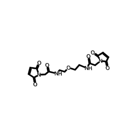 O=C(CN1C(=O)C=CC1=O)NCCOCCNC(=O)CN1C(=O)C=CC1=O